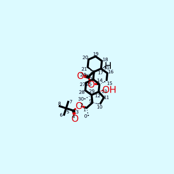 C[C@H](OC(=O)C(C)(C)C)[C@H]1CC[C@]2(O)[C@@]34CC[C@@H]5CCCC[C@]5(C(=O)O3)C4CC[C@]12C